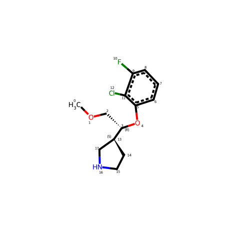 COC[C@H](Oc1cccc(F)c1Cl)[C@H]1CCNC1